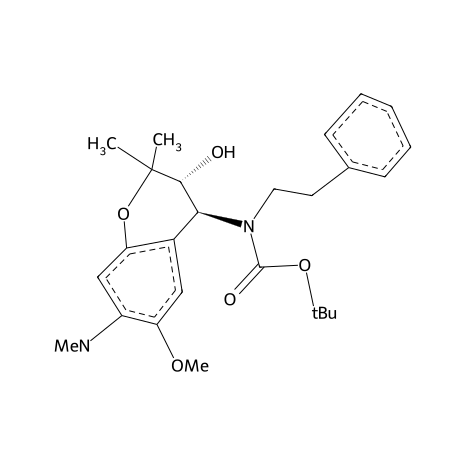 CNc1cc2c(cc1OC)[C@H](N(CCc1ccccc1)C(=O)OC(C)(C)C)[C@@H](O)C(C)(C)O2